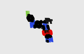 Cc1cc2c(cnn2-c2ccc(F)cc2)cc1[C@H]1CN(S(=O)(=O)c2cnn(C)c2)CCN1CC(C)C